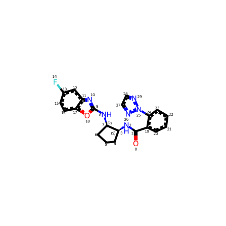 O=C(N[C@H]1CCC[C@H]1Nc1nc2cc(F)ccc2o1)c1ccccc1-n1nccn1